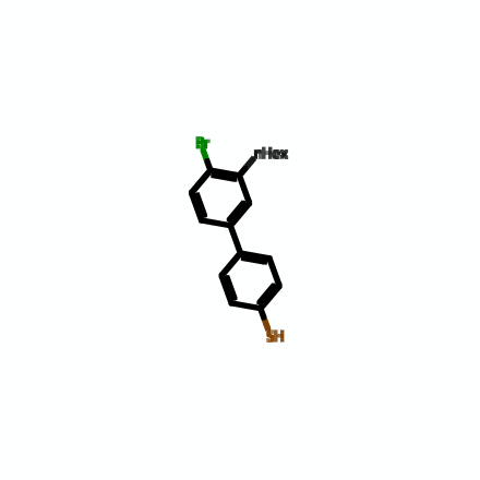 CCCCCCc1cc(-c2ccc(S)cc2)ccc1Br